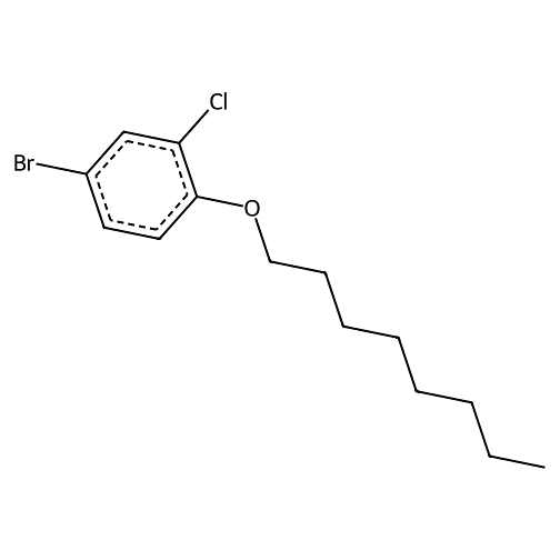 CCCCCCCCOc1ccc(Br)cc1Cl